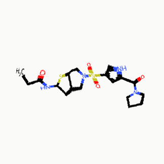 C=CC(=O)NC1CC2CN(S(=O)(=O)c3c[nH]c(C(=O)N4CCCC4)c3)CC2S1